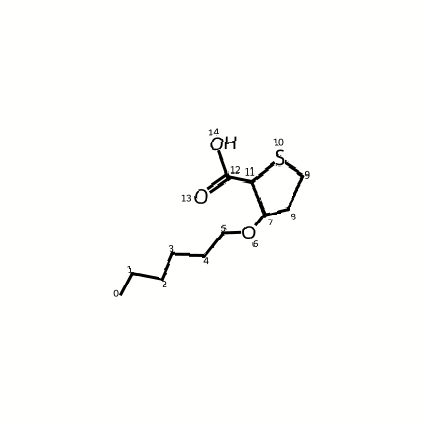 CCCCCCOC1CCSC1C(=O)O